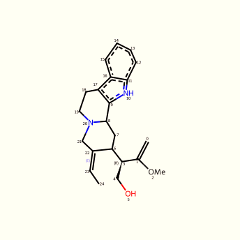 C=C(OC)[C@@H](CO)C1CC2c3[nH]c4ccccc4c3CCN2C/C1=C/C